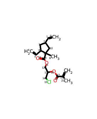 C=CC1CC(C=C)C(C)(C(=O)OCC(CCl)OC(=O)C(=C)C)C1